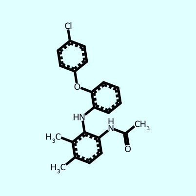 CC(=O)Nc1ccc(C)c(C)c1Nc1ccccc1Oc1ccc(Cl)cc1